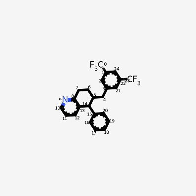 FC(F)(F)c1cc(CC2CCc3ncccc3C2c2ccccc2)cc(C(F)(F)F)c1